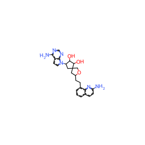 Nc1ccc2cccc(CCC3CC4(CO3)CC(n3ccc5c(N)ncnc53)C(O)C4O)c2n1